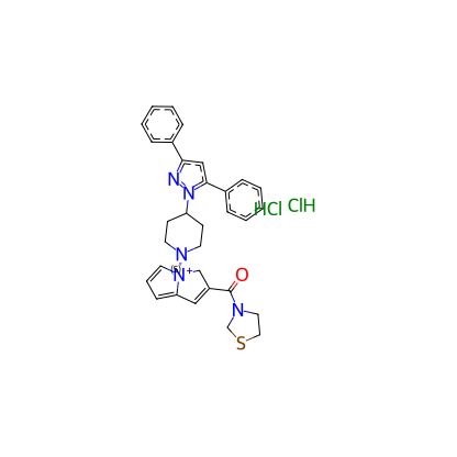 Cl.Cl.O=C(C1=CC2=CC=C[N@@+]2(N2CCC(n3nc(-c4ccccc4)cc3-c3ccccc3)CC2)C1)N1CCSC1